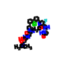 COc1nc(-c2cccc(-c3cccc(-c4ccn5c(=O)c(CNCC(O)CC(=O)N(C)C)cnc5c4)c3Cl)c2Cl)cc(F)c1CNC[C@H]1CCC(=O)N1